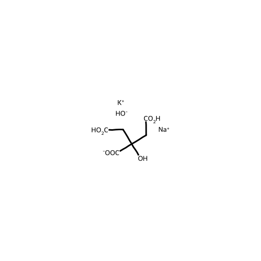 O=C(O)CC(O)(CC(=O)O)C(=O)[O-].[K+].[Na+].[OH-]